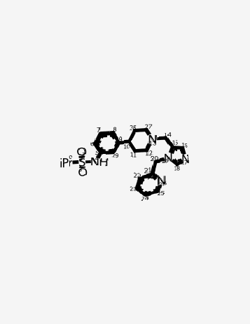 CC(C)S(=O)(=O)Nc1cccc(C2CCN(Cc3cncn3Cc3ccccn3)CC2)c1